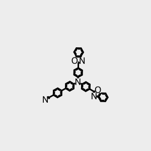 N#Cc1ccc(-c2ccc(N(c3ccc(-c4nc5ccccc5o4)cc3)c3ccc(-c4nc5ccccc5o4)cc3)cc2)cc1